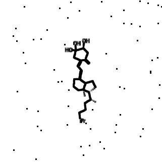 C=C1C[C@H](O)C(O)(O)C/C1=C/C=C1CCC[C@@]2(C)C1CC[C@@H]2[C@H](C)CCCC(C)C